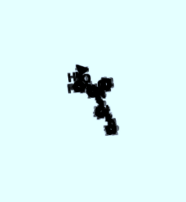 O=C(NC1CC1)c1cc(F)ccc1Sc1ccc2c(/C=C/c3cccc(CCCN4CCCC4)n3)nn(C3CCCCO3)c2c1